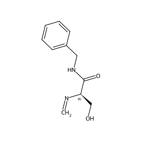 C=N[C@H](CO)C(=O)NCc1ccccc1